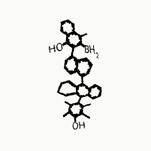 Bc1c(-c2cccc3c(-c4c5c(c(-c6c(C)c(C)c(O)c(C)c6C)c6ccccc46)=CCCC=5)cccc23)c(O)c2ccccc2c1C